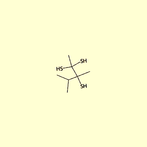 CC(C)C(C)(S)C(C)(S)S